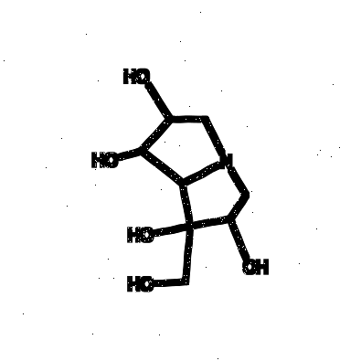 OCC1(O)C(O)CN2CC(O)C(O)C21